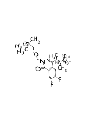 C[C@H](c1nn(COCC[Si](C)(C)C)c(=O)c2cc(F)c(F)cc12)N(C)[S@@+]([O-])C(C)(C)C